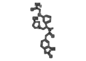 CN(C(=O)Cc1ccc2sc(=O)[nH]c2c1)C(CN1CC[C@@H](O)C1)c1cccc(OCC(N)=O)c1